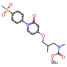 CC(COc1ccn(-c2ccc(S(C)(=O)=O)cc2)c(=O)c1)CN(C)C(=O)OC(C)(C)C